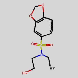 CC(C)CN(CCO)S(=O)(=O)c1ccc2c(c1)OCO2